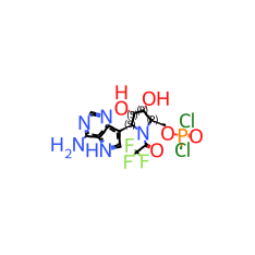 Nc1ncnc2c([C@H]3[C@H](O)[C@H](O)[C@@H](COP(=O)(Cl)Cl)N3C(=O)C(F)(F)F)c[nH]c12